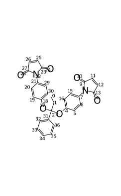 CCC(Oc1ccc(N2C(=O)C=CC2=O)cc1)(Oc1ccc(N2C(=O)C=CC2=O)cc1)c1ccccc1